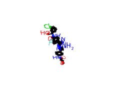 C=C(/N=C(\C(N)=N/C)c1ccc(C(=O)N[C@H](CO)c2cccc(Cl)c2)c(F)c1)[C@H]1CC[C@H](NC(=O)CCOC)CC1